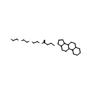 C[C@]12CC[C@@H](O)CC1CCC1C2CC[C@@]2(C)C1CC[C@@H]2CCCC(=O)NCCOCCOCCN